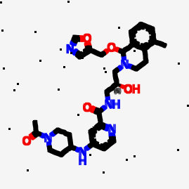 CC(=O)N1CCC(Nc2ccnc(C(=O)NC[C@H](O)CN3CCc4c(C)cccc4C3OCc3cnco3)c2)CC1